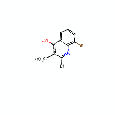 CCc1nc2c(Br)cccc2c(O)c1C(=O)O